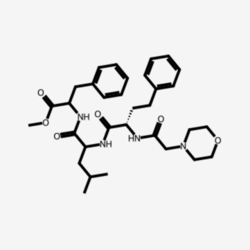 COC(=O)C(Cc1ccccc1)NC(=O)C(CC(C)C)NC(=O)[C@H](CCc1ccccc1)NC(=O)CN1CCOCC1